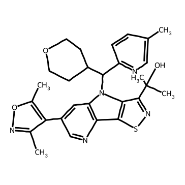 Cc1ccc(C(C2CCOCC2)n2c3cc(-c4c(C)noc4C)cnc3c3snc(C(C)(C)O)c32)nc1